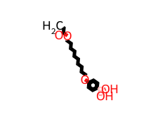 C=CC(=O)OCCCCCCCCCCOc1ccc(B(O)O)cc1